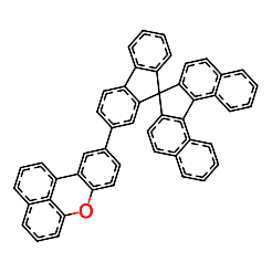 c1ccc2c(c1)-c1ccc(-c3ccc4c(c3)-c3cccc5cccc(c35)O4)cc1C21c2ccc3ccccc3c2-c2c1ccc1ccccc21